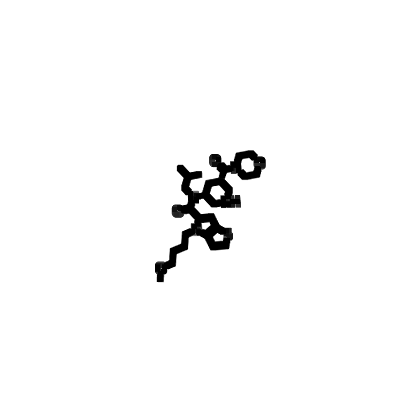 COCCCCn1c(C(=O)N(CC(C)C)[C@@H]2CNC[C@H](C(=O)N3CCOCC3)C2)cc2sccc21